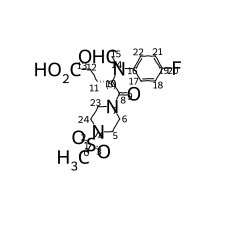 CS(=O)(=O)N1CCN(C(=O)[C@H](CCC(=O)O)N(C=O)c2ccc(F)cc2)CC1